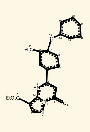 CCOC(=O)c1cnn2c(=O)cc(-c3ccc(Oc4ccccc4)c(C)c3)[nH]c12